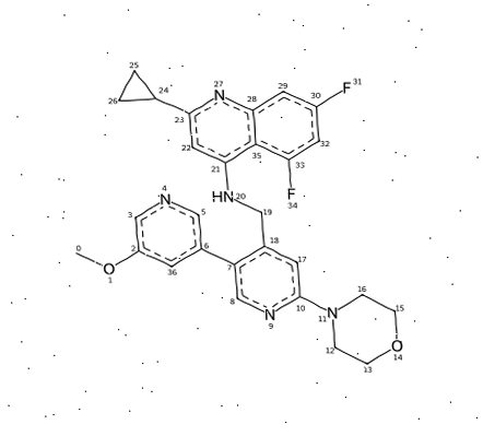 COc1cncc(-c2cnc(N3CCOCC3)cc2CNc2cc(C3CC3)nc3cc(F)cc(F)c23)c1